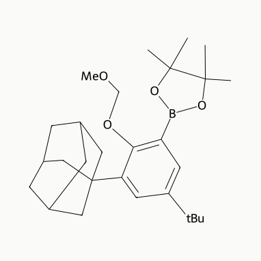 COCOc1c(B2OC(C)(C)C(C)(C)O2)cc(C(C)(C)C)cc1C12CC3CC(CC(C3)C1)C2